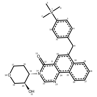 C[Si](C)(C)c1ccc(Cc2cc3c(=O)n([C@H]4CCOC[C@@H]4O)cnc3c3ccccc23)cc1